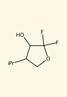 CC(C)C1COC(F)(F)C1O